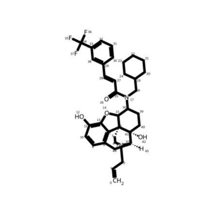 C=CCN1CC[C@]23c4c5ccc(O)c4OC2C(N(CC2CCCCC2)C(=O)/C=C/c2cccc(C(F)(F)F)c2)CC[C@@]3(O)[C@H]1C5